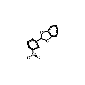 O=[N+]([O-])c1cc[c]c(C2Oc3ccccc3O2)c1